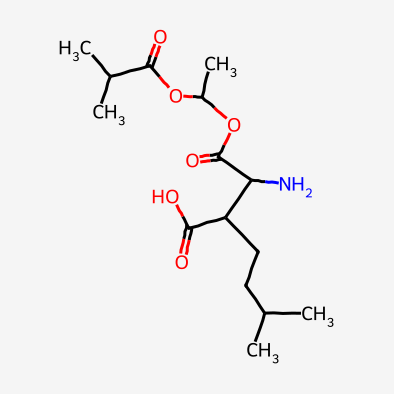 CC(C)CCC(C(=O)O)C(N)C(=O)OC(C)OC(=O)C(C)C